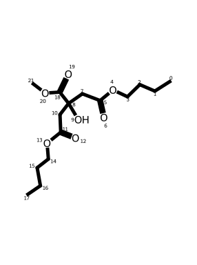 CCCCOC(=O)CC(O)(CC(=O)OCCCC)C(=O)OC